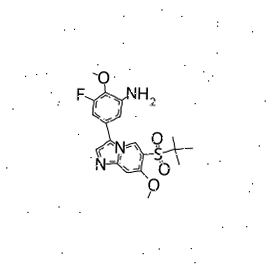 COc1cc2ncc(-c3cc(N)c(OC)c(F)c3)n2cc1S(=O)(=O)C(C)(C)C